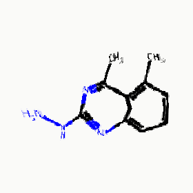 Cc1cccc2nc(NN)nc(C)c12